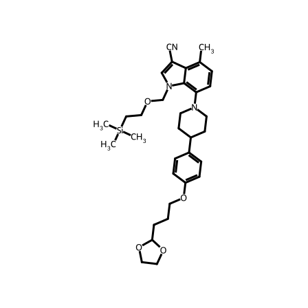 Cc1ccc(N2CCC(c3ccc(OCCCC4OCCO4)cc3)CC2)c2c1c(C#N)cn2COCC[Si](C)(C)C